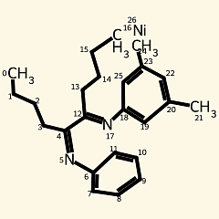 CCCCC(=Nc1ccccc1)C(CCCC)=Nc1cc(C)cc(C)c1.[Ni]